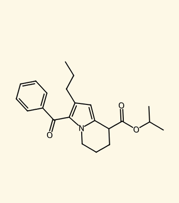 CCCc1cc2n(c1C(=O)c1ccccc1)CCCC2C(=O)OC(C)C